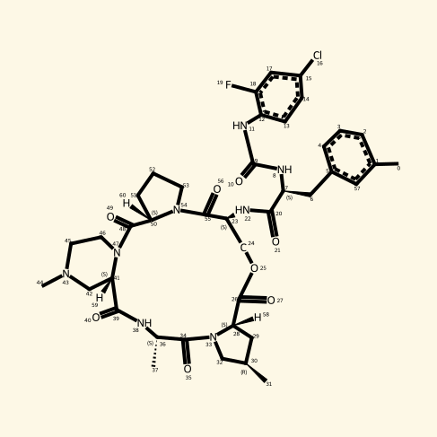 Cc1cccc(C[C@H](NC(=O)Nc2ccc(Cl)cc2F)C(=O)N[C@H]2COC(=O)[C@@H]3C[C@@H](C)CN3C(=O)[C@H](C)NC(=O)[C@@H]3CN(C)CCN3C(=O)[C@@H]3CCCN3C2=O)c1